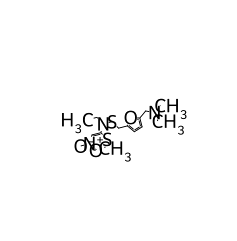 CCN(SCc1ccc(CN(C)C)o1)C(=C[N+](=O)[O-])SC